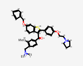 CCN(CC)Cc1ccc(C(=O)c2c(-c3ccc(OCCN4CCCC4)cc3)sc3cc(OCc4ccccc4)ccc23)cc1OC